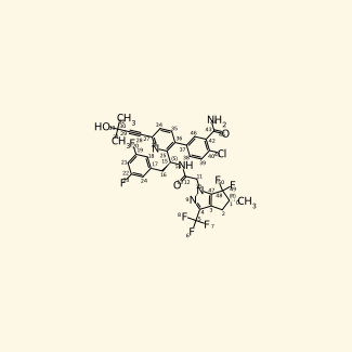 C[C@@H]1Cc2c(C(F)(F)F)nn(CC(=O)N[C@@H](Cc3cc(F)cc(F)c3)c3nc(C#CC(C)(C)O)ccc3-c3ccc(Cl)c(C(N)=O)c3)c2C1(F)F